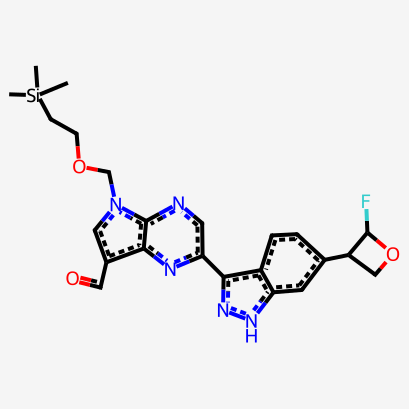 C[Si](C)(C)CCOCn1cc(C=O)c2nc(-c3n[nH]c4cc(C5COC5F)ccc34)cnc21